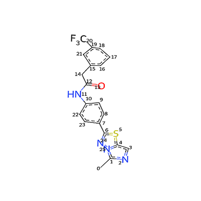 Cc1ncc2sc(-c3ccc(NC(=O)Cc4cccc(C(F)(F)F)c4)cc3)nn12